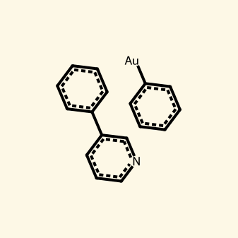 [Au][c]1ccccc1.c1ccc(-c2cccnc2)cc1